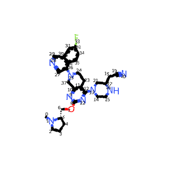 CN1CCC[C@H]1COc1nc2c(c(N3CCNC(CC#N)C3)n1)CCN(c1cncc3cc(F)ccc13)C2